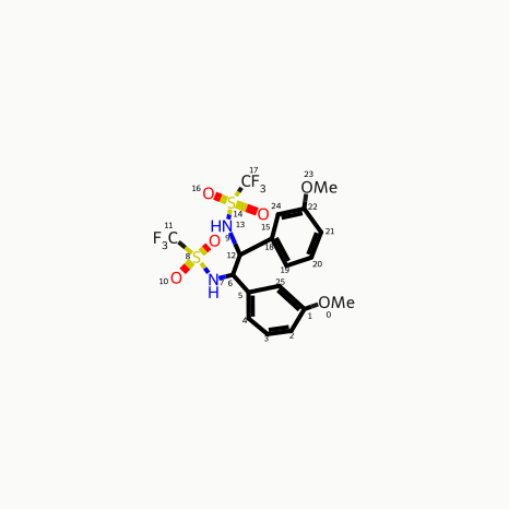 COc1cccc(C(NS(=O)(=O)C(F)(F)F)C(NS(=O)(=O)C(F)(F)F)c2cccc(OC)c2)c1